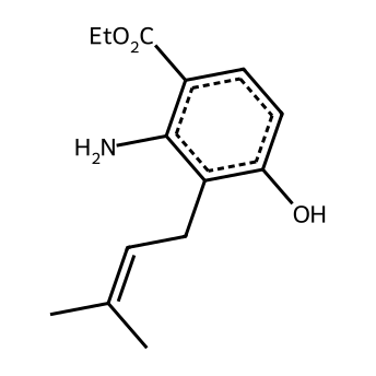 CCOC(=O)c1ccc(O)c(CC=C(C)C)c1N